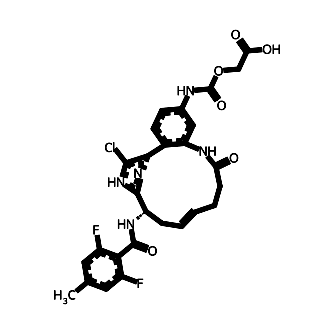 Cc1cc(F)c(C(=O)N[C@H]2C/C=C/CCC(=O)Nc3cc(NC(=O)OCC(=O)O)ccc3-c3nc2[nH]c3Cl)c(F)c1